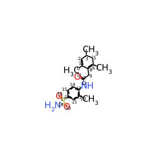 CC1=C[C@@H](C)[CH]C(C)=C1CC(=O)Nc1ccc(S(N)(=O)=O)cc1C